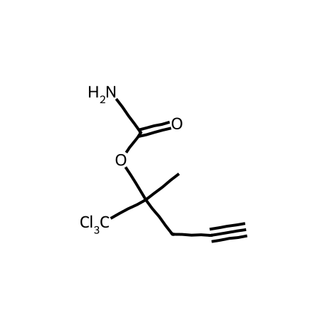 C#CCC(C)(OC(N)=O)C(Cl)(Cl)Cl